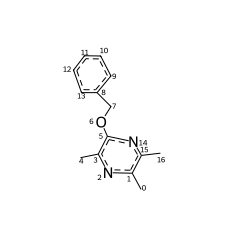 Cc1nc(C)c(OCc2ccccc2)nc1C